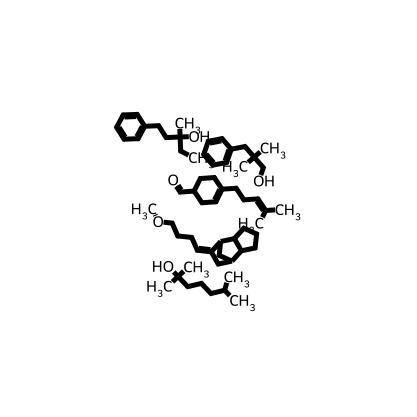 CC(C)(CO)Cc1ccccc1.CC(C)=CCCC1=CCC(C=O)CC1.CC(C)CCCC(C)(C)O.CCC(C)(O)CCc1ccccc1.COCCCC=C1CC2CC1C1CCCC21